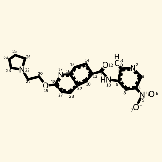 Cc1ncc([N+](=O)[O-])cc1NC(=O)c1ccc2nc(OCCN3CCCC3)ccc2c1